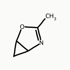 CC1=NC2CC2O1